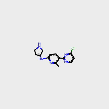 Cc1nc(N[C@H]2CCNC2)ccc1-c1nccc(Cl)n1